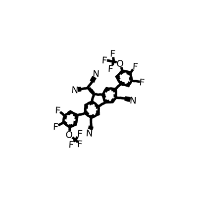 N#CC(C#N)=C1c2cc(-c3cc(F)c(F)c(OC(F)(F)F)c3)c(C#N)cc2-c2cc(C#N)c(-c3cc(F)c(F)c(OC(F)(F)F)c3)cc21